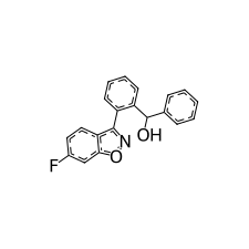 OC(c1ccccc1)c1ccccc1-c1noc2cc(F)ccc12